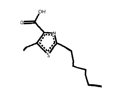 CCCCCc1nc(C(=O)O)c(C)s1